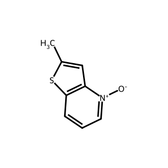 Cc1cc2c(ccc[n+]2[O-])s1